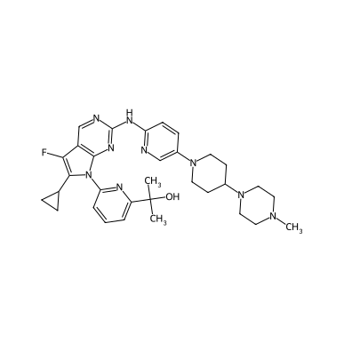 CN1CCN(C2CCN(c3ccc(Nc4ncc5c(F)c(C6CC6)n(-c6cccc(C(C)(C)O)n6)c5n4)nc3)CC2)CC1